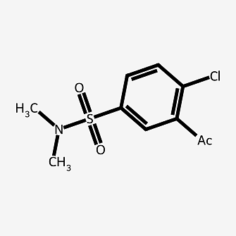 CC(=O)c1cc(S(=O)(=O)N(C)C)ccc1Cl